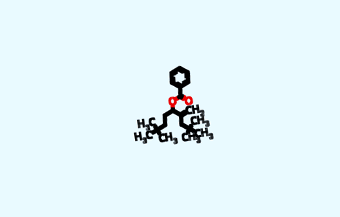 C=C(CC(C)(C)C)C(CCC(C)(C)C)OC(=O)c1ccccc1